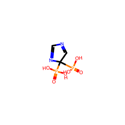 O=P(O)(O)C1(P(=O)(O)O)C=NC=N1